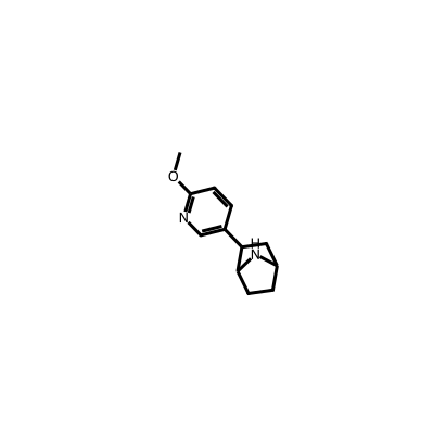 COc1ccc(C2CC3CCC2N3)cn1